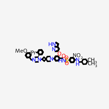 COc1ccc(CN2CCN(C3CC4(CCN(c5ccc(C(=O)NS(=O)(=O)c6ccc(NCC7CCC(C)(C)CC7)c([N+](=O)[O-])c6)c(Oc6cnc7[nH]ccc7c6)c5)CC4)C3)[C@H](c3ccccc3C(C)C)C2)cc1